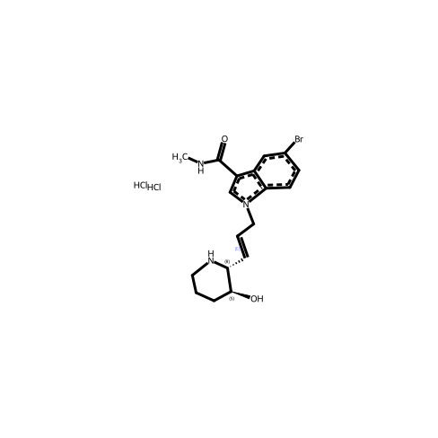 CNC(=O)c1cn(C/C=C/[C@H]2NCCC[C@@H]2O)c2ccc(Br)cc12.Cl.Cl